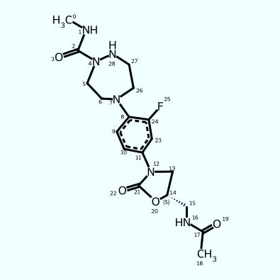 CNC(=O)N1CCN(c2ccc(N3C[C@H](CNC(C)=O)OC3=O)cc2F)CCN1